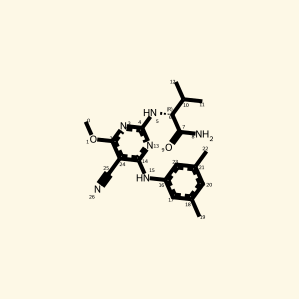 COc1nc(N[C@@H](C(N)=O)C(C)C)nc(Nc2cc(C)cc(C)c2)c1C#N